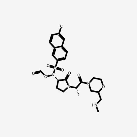 CNCC1CN(C(=O)[C@H](C)N2CC[C@H](N(OC=O)S(=O)(=O)c3ccc4cc(Cl)ccc4c3)C2=O)CCO1